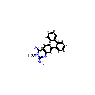 CN1C(N)=Nc2cc(-c3ccccc3-c3ccccc3)ccc2C1N